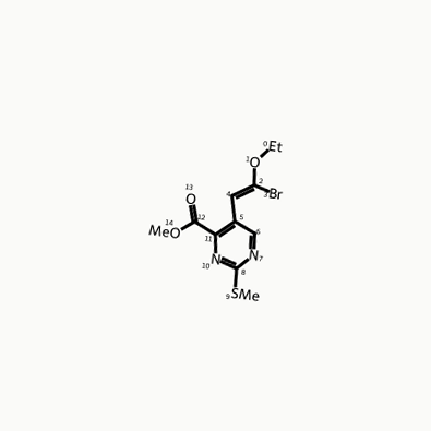 CCOC(Br)=Cc1cnc(SC)nc1C(=O)OC